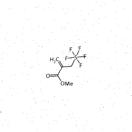 C=C(CS(F)(F)(F)(F)F)C(=O)OC